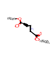 CCCCCCCCCOC(=O)C#C/C=C/C(=O)OCCCCCCCCC